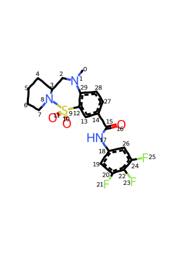 CN1CC2CCCCN2S(=O)(=O)c2cc(C(=O)Nc3cc(F)c(F)c(F)c3)ccc21